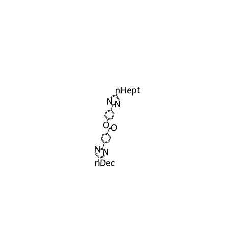 CCCCCCCCCCc1cnc(-c2ccc(C(=O)Oc3ccc(-c4ncc(CCCCCCC)cn4)cc3)cc2)nc1